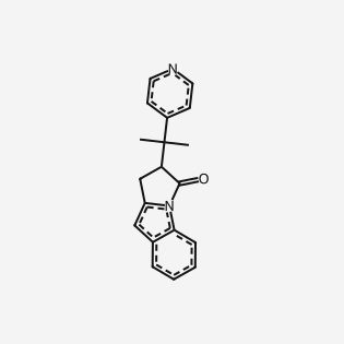 CC(C)(c1ccncc1)C1Cc2cc3ccccc3n2C1=O